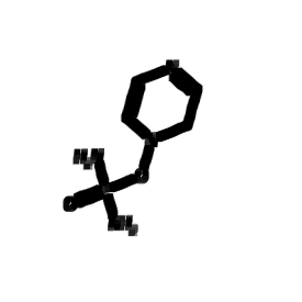 NP(N)(=O)ON1C=CN=CC1